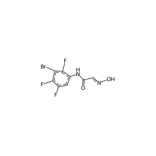 O=C(C=NO)Nc1cc(F)c(F)c(Br)c1F